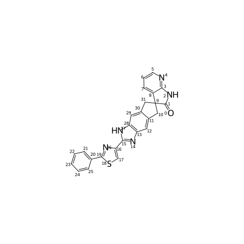 O=C1Nc2ncccc2C12Cc1cc3nc(-c4csc(-c5ccccc5)n4)[nH]c3cc1C2